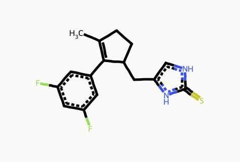 CC1=C(c2cc(F)cc(F)c2)C(Cc2c[nH]c(=S)[nH]2)CC1